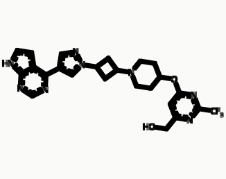 OCc1cc(OC2CCN(C3CC(n4cc(-c5ncnc6[nH]ccc56)cn4)C3)CC2)nc(C(F)(F)F)n1